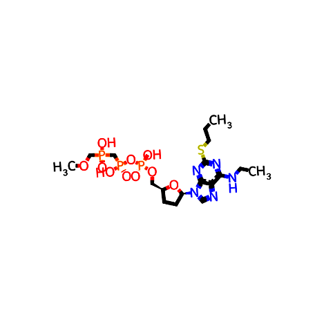 CCCSc1nc(NCC)c2ncn([C@H]3CC[C@@H](COP(=O)(O)OP(=O)(O)CP(=O)(O)COC)O3)c2n1